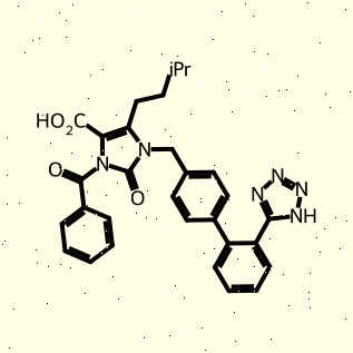 CC(C)CCc1c(C(=O)O)n(C(=O)c2ccccc2)c(=O)n1Cc1ccc(-c2ccccc2-c2nnn[nH]2)cc1